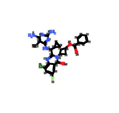 N#Cc1c(N)nc(N)nc1NC(c1nc2c(Cl)cc(F)cc2c(=O)n1C1CC(OC(=O)c2ccccc2)C1)C1CC1